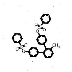 Cc1cccc(-c2ccc(OS(=O)(=O)c3ccccc3)cc2)c1-c1ccc(OS(=O)(=O)c2ccccc2)cc1